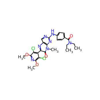 CCN(CC)C(=O)c1ccc(Nc2ncc3nc(-c4c(Cl)c(OC)nc(OC)c4Cl)c(=O)n(C)c3n2)cc1